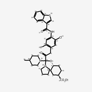 CCOC(=O)[C@H]1CC[C@H](OC(C(=O)Cc2cc(Cl)c(NC(=O)c3csc4ccccc34)cc2F)(N2CCCC2)N2CCC(C)CC2)CC1